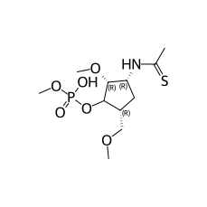 COC[C@H]1C[C@@H](NC(C)=S)[C@@H](OC)C1OP(=O)(O)OC